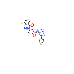 O=C(NC1CCCC2(CCN(c3cc(-c4ccc(F)cc4)ncn3)C2=O)C1)c1cccc(F)c1